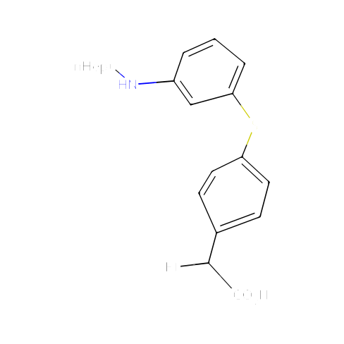 CCCCCCCNc1cccc(Sc2ccc(C(CC)C(=O)O)cc2)c1